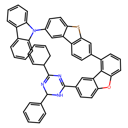 C1=CCC(C2=NC(c3ccccc3)NC(c3ccc4oc5cccc(-c6ccc7c(c6)sc6ccc(-n8c9ccccc9c9ccccc98)cc67)c5c4c3)=N2)C=C1